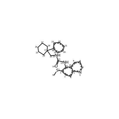 CSc1ccc2ncccc2c1NC(=O)NCC1(c2ccccc2)CCCCC1